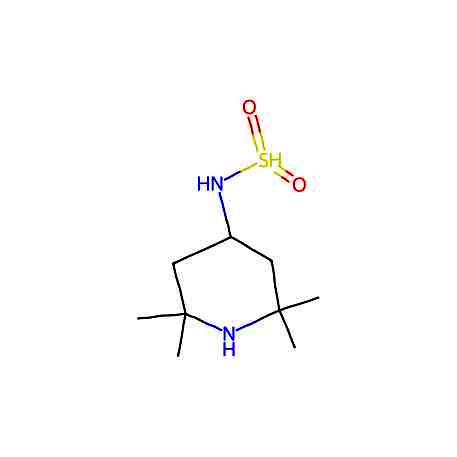 CC1(C)CC(N[SH](=O)=O)CC(C)(C)N1